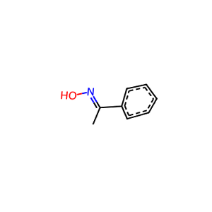 C/C(=N\O)c1ccccc1